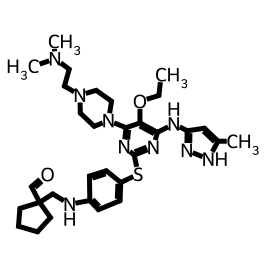 CCOc1c(Nc2cc(C)[nH]n2)nc(Sc2ccc(NCC3(C=O)CCCC3)cc2)nc1N1CCN(CCN(C)C)CC1